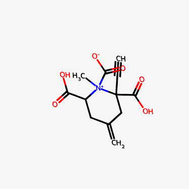 C#CC1(C(=O)O)CC(=C)CC(C(=O)O)[N+]1(C)C(=O)[O-]